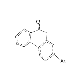 CC(=O)c1ccc2c(c1)CC(=O)c1ccccc1-2